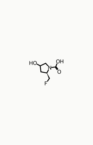 O=C(O)N1CC(O)C[C@@H]1CF